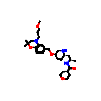 COCCCN1CC(C)(C)Oc2ccc(CO[C@@H]3CC[C@@H](C[C@H](C)NC(=O)C4CCOCC4)NC3)cc21